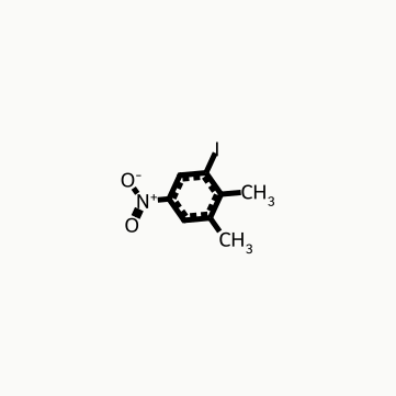 Cc1cc([N+](=O)[O-])cc(I)c1C